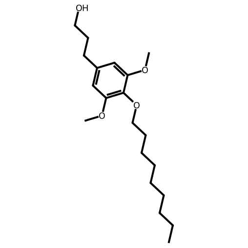 CCCCCCCCCOc1c(OC)cc(CCCO)cc1OC